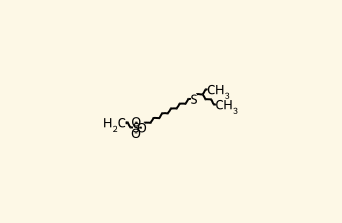 C=CCS(=O)(=O)OCCCCCCCCCCCSCC(CC)CCCC